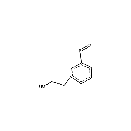 O=Pc1cccc(CCO)c1